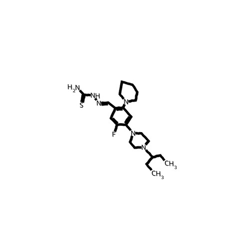 CCC(CC)N1CCN(c2cc(N3CCCCC3)c(C=NNC(N)=S)cc2F)CC1